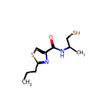 CCCc1nc(C(=O)NC(C)CS)cs1